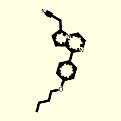 CCCCOc1ccc(-c2nccn3c(CC#N)ccc23)cc1